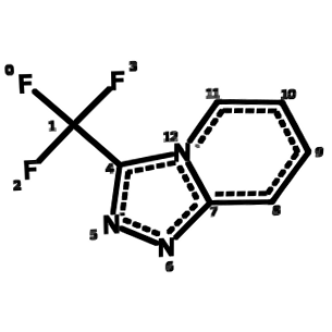 FC(F)(F)c1nnc2ccccn12